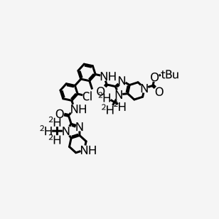 [2H]C([2H])([2H])n1c(C(=O)Nc2cccc(-c3cccc(NC(=O)c4nc5c(n4C([2H])([2H])[2H])CCNC5)c3Cl)c2C)nc2c1CCN(C(=O)OC(C)(C)C)C2